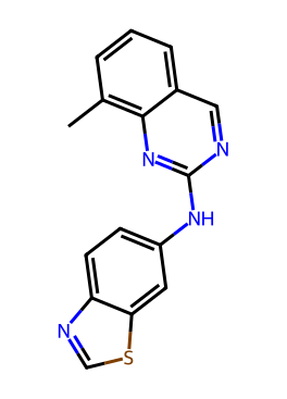 Cc1cccc2cnc(Nc3ccc4ncsc4c3)nc12